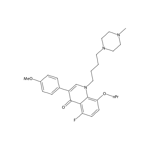 CCCOc1ccc(F)c2c(=O)c(-c3ccc(OC)cc3)cn(CCCCN3CCN(C)CC3)c12